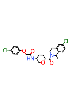 CC1c2ccc(Cl)cc2CCN1C(=O)[C@@H]1CC[C@@H](NC(=O)COc2ccc(Cl)cc2)CO1